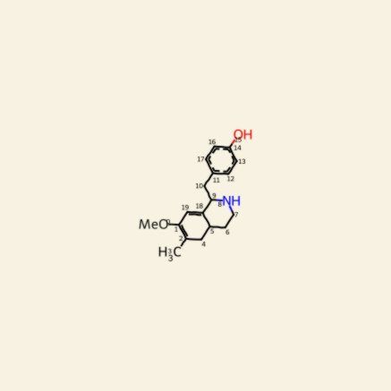 COC1=C(C)CC2CCNC(Cc3ccc(O)cc3)C2=C1